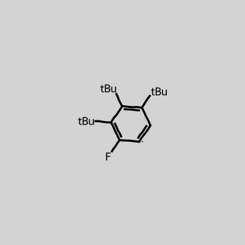 CC(C)(C)c1c[c]c(F)c(C(C)(C)C)c1C(C)(C)C